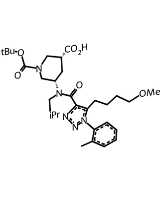 COCCCCc1c(C(=O)N(CC(C)C)[C@H]2C[C@@H](C(=O)O)CN(C(=O)OC(C)(C)C)C2)nnn1-c1ccccc1C